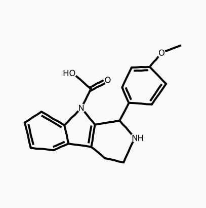 COc1ccc(C2NCCc3c2n(C(=O)O)c2ccccc32)cc1